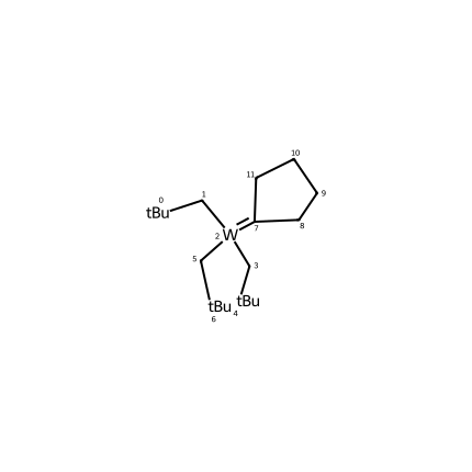 CC(C)(C)[CH2][W]([CH2]C(C)(C)C)([CH2]C(C)(C)C)=[C]1CCCC1